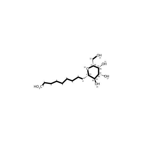 O=C(O)CCCCCCCC[C@@H]1O[C@H](CO)[C@H](O)[C@H](O)[C@H]1O